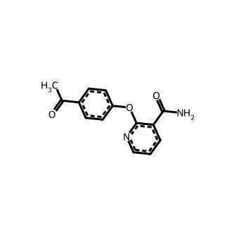 CC(=O)c1ccc(Oc2ncccc2C(N)=O)cc1